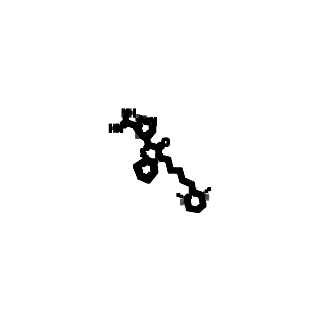 C[C@@H]1CCC[C@H](C)N1CCCCCN1C(=O)C(c2cnnc(C(=N)N)n2)Sc2ccccc21